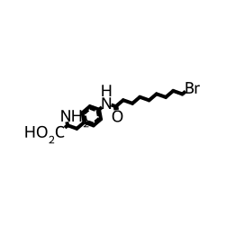 NC(Cc1ccc(NC(=O)CCCCCCCCBr)cc1)C(=O)O